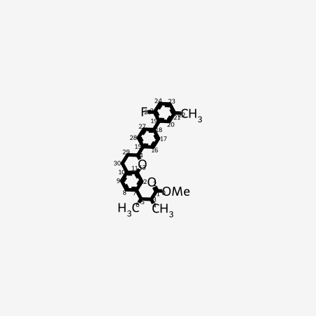 COC(=O)C(C)C(C)c1ccc2c(c1)OC(c1ccc(-c3cc(C)ccc3F)cc1)CC2